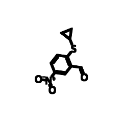 O=Cc1cc([N+](=O)[O-])ccc1SC1CC1